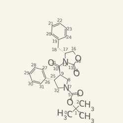 CC(C)(C)OC(=O)N1C[C@H](C(=O)N2C(=O)OC[C@H]2Cc2ccccc2)[C@@H](c2ccccc2)C1